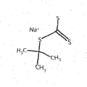 CC(C)(C)SC(=S)[S-].[Na+]